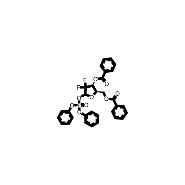 O=C(OC[C@H]1OC(OP(=O)(Oc2ccccc2)Oc2ccccc2)C(F)(F)[C@@H]1OC(=O)c1ccccc1)c1ccccc1